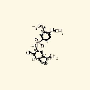 COc1ccc(S(=O)(=O)Nc2cc3c(C)nsc3cc2Cl)cc1OC